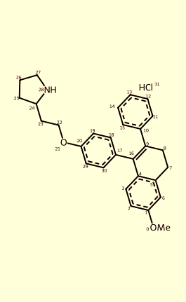 COc1ccc2c(c1)CCC(c1ccccc1)=C2c1ccc(OCCC2CCCN2)cc1.Cl